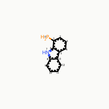 Pc1cccc2c1[nH]c1ccccc12